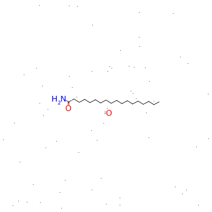 CCCCCCCCCCCCCCCCCC(N)=O.[O]